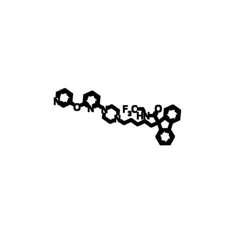 O=C(NCC(F)(F)F)C1(CCCCCN2CCN(c3cccc(Oc4cccnc4)n3)CC2)c2ccccc2-c2ccccc21